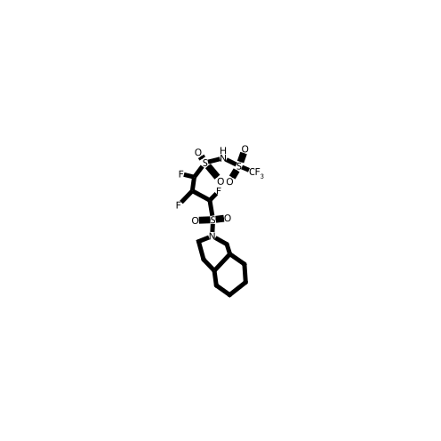 O=S(=O)(NS(=O)(=O)C(F)(F)F)C(F)C(F)C(F)S(=O)(=O)N1CCC2CCCCC2C1